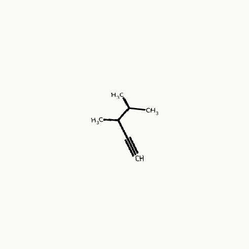 C#C[C](C)C(C)C